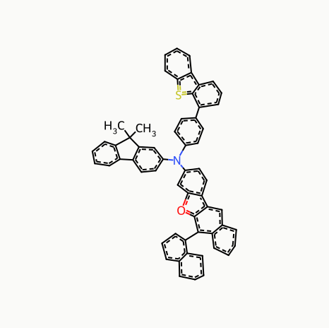 CC1(C)c2ccccc2-c2ccc(N(c3ccc(-c4cccc5c4sc4ccccc45)cc3)c3ccc4c(c3)oc3c(-c5cccc6ccccc56)c5ccccc5cc34)cc21